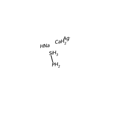 [Ag].[CaH2].[NaH].[SiH3]P